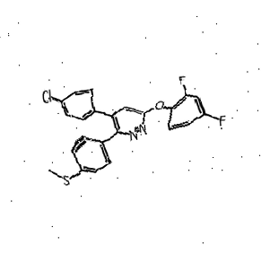 CSc1ccc(-c2nnc(Oc3ccc(F)cc3F)cc2-c2ccc(Cl)cc2)cc1